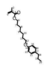 C=C(C)C(=O)OCCCCCCCOc1ccc(CCC)cc1